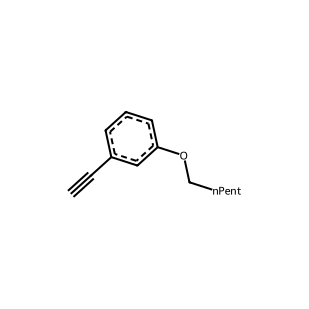 C#Cc1cccc(OCCCCCC)c1